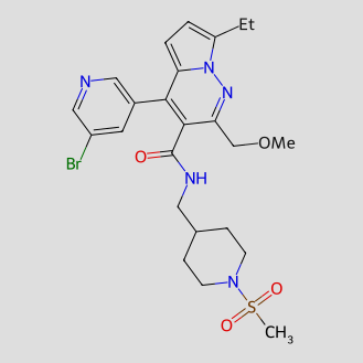 CCc1ccc2c(-c3cncc(Br)c3)c(C(=O)NCC3CCN(S(C)(=O)=O)CC3)c(COC)nn12